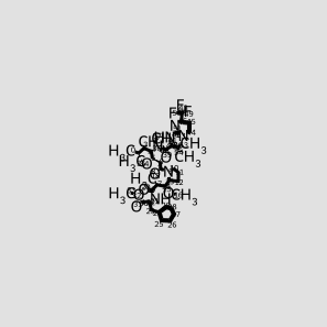 CC[C@H](C)[C@@H]([C@@H](CC(=O)N1CCCC1[C@H](OC)[C@@H](C)C(=O)NC(Cc1ccccc1)C(=O)OC)OC)N(C)C(=O)C(Nc1nccc(C(F)(F)F)n1)C(C)C